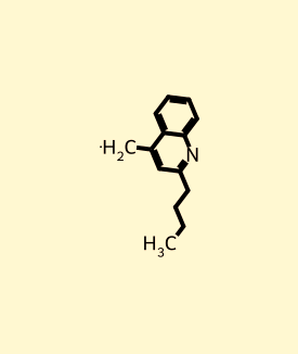 [CH2]c1cc(CCCC)nc2ccccc12